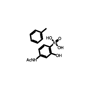 CC(=O)Nc1ccc([As](=O)(O)O)c(O)c1.Cc1ccccc1